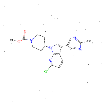 Cc1ncc(-c2cn(C3CCN(C(=O)OC(C)(C)C)CC3)c3nc(Cl)ccc23)cn1